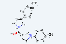 N#CC1CCC(N2CCC(C(=O)N3CCC(c4ccc(C(F)(F)F)cc4)C3)C2)CC1